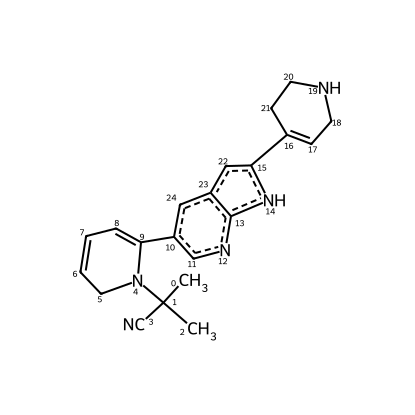 CC(C)(C#N)N1CC=CC=C1c1cnc2[nH]c(C3=CCNCC3)cc2c1